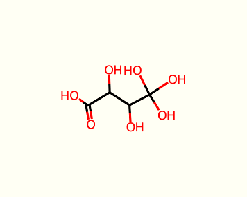 O=C(O)C(O)C(O)C(O)(O)O